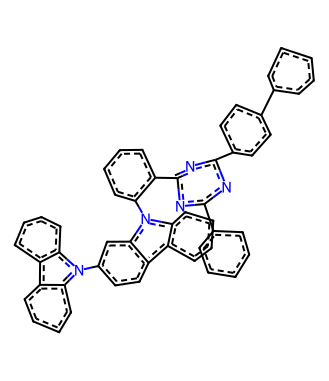 c1ccc(-c2ccc(-c3nc(-c4ccccc4)nc(-c4ccccc4-n4c5ccccc5c5ccc(-n6c7ccccc7c7ccccc76)cc54)n3)cc2)cc1